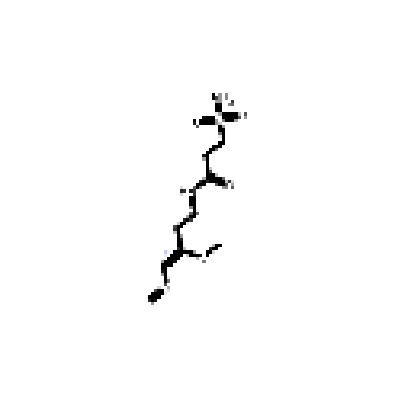 C=N/C=C(/CCNC(=O)CCS(N)(=O)=O)NC